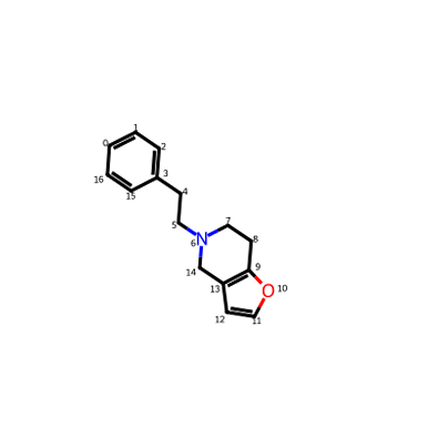 c1ccc(CCN2CCc3occc3C2)cc1